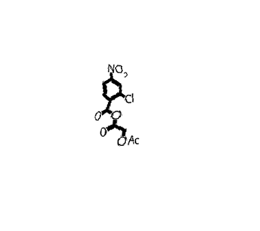 CC(=O)OCC(=O)OC(=O)c1ccc([N+](=O)[O-])cc1Cl